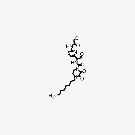 CCCCCCCCN1CCN(C(=O)NC([C]=O)c2csc(NC(=O)CCl)n2)C(=O)C1=O